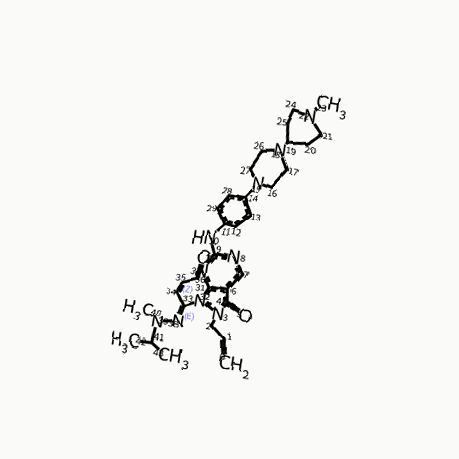 C=CCn1c(=O)c2cnc(Nc3ccc(N4CCN(C5CCN(C)CC5)CC4)cc3)nc2n1C(/C=C\C=O)=N/N(C)C(C)C